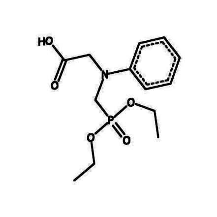 CCOP(=O)(CN(CC(=O)O)c1ccccc1)OCC